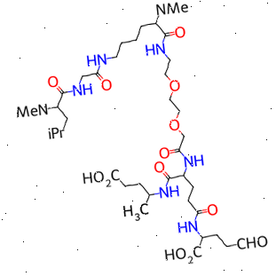 CNC(CCCCNC(=O)CNC(=O)C(CC(C)C)NC)C(=O)NCCOCCOCC(=O)NC(CCC(=O)NC(CCC=O)C(=O)O)C(=O)NC(C)CCC(=O)O